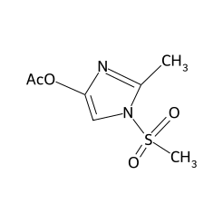 CC(=O)Oc1cn(S(C)(=O)=O)c(C)n1